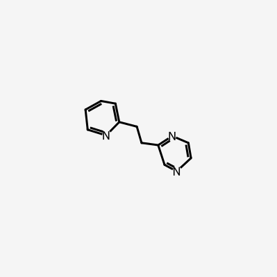 c1ccc(CCc2cnccn2)nc1